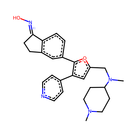 CN1CCC(N(C)Cc2cc(-c3ccncc3)c(-c3ccc4c(c3)CC/C4=N\O)o2)CC1